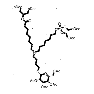 CCCCCCCCCCCOP(=O)(OCCCCCCCCCCC)OCCCCCCCN(CCCCCCCC(=O)OC(CCCCCCCCCCC)CCCCCCCCCCC)CCCCO[C@H]1O[C@H](COC(C)=O)[C@@H](OC(C)=O)[C@H](OC(C)=O)[C@@H]1OC(C)=O